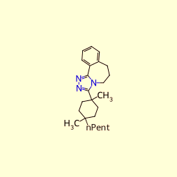 CCCCCC1(C)CCC(C)(c2nnc3n2CCCc2ccccc2-3)CC1